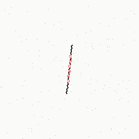 CCCCCCCCOCCOCCOCCOCCOCCOCCCCCCC